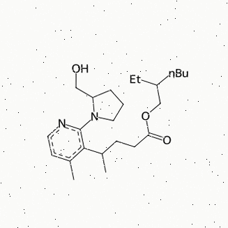 CCCCC(CC)COC(=O)CCC(C)c1c(C)ccnc1N1CCCC1CO